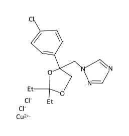 CCC1(CC)OCC(Cn2cncn2)(c2ccc(Cl)cc2)O1.[Cl-].[Cl-].[Cu+2]